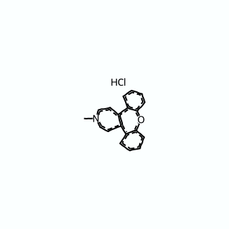 Cl.Cn1ccc2c3ccccc3oc3ccccc3c=2cc1